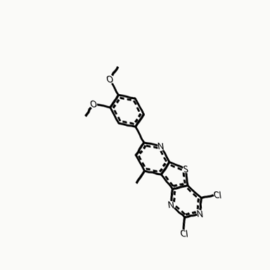 COc1ccc(-c2cc(C)c3c(n2)sc2c(Cl)nc(Cl)nc23)cc1OC